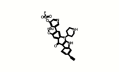 C#Cc1ccc2c(c1)[nH]c1c2c(=O)c2cc(OCCCC)c(-c3cncc(OS(=O)(=O)F)c3)cc2n1C1CCNCC1